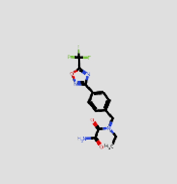 CCN(Cc1ccc(-c2noc(C(F)(F)F)n2)cc1)C(=O)C(N)=O